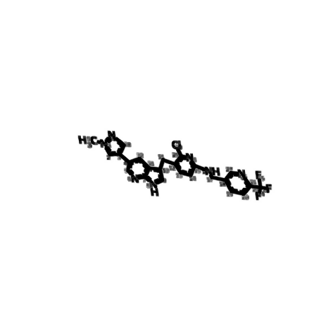 Cn1cc(-c2cnc3[nH]cc(Cc4ccc(NCc5ccc(C(F)(F)F)nc5)nc4Cl)c3c2)cn1